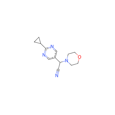 N#CC(c1cnc(C2CC2)nc1)N1CCOCC1